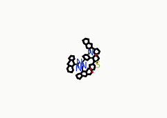 c1ccc2cc3c(cc2c1)c1ccccc1n3-c1ccc(-c2nc(-c3c4ccccc4cc4ccccc34)nc(-c3c4ccccc4cc4ccccc34)n2)cc1-c1cccc2sc3ccccc3c12